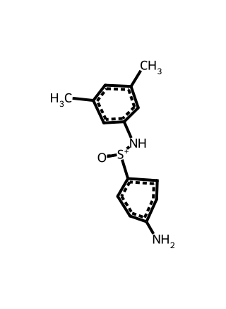 Cc1cc(C)cc(N[S+]([O-])c2ccc(N)cc2)c1